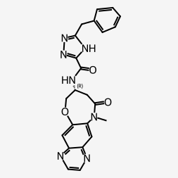 CN1C(=O)C[C@@H](NC(=O)c2nnc(Cc3ccccc3)[nH]2)COc2cc3nccnc3cc21